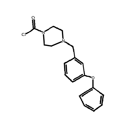 O=C(Cl)N1CCN(Cc2cccc(Oc3ccccc3)c2)CC1